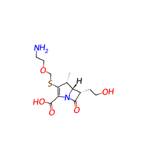 C[C@H]1C(SCOCCN)=C(C(=O)O)N2C(=O)[C@@H](CCO)[C@@H]12